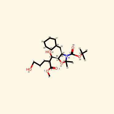 COC(=O)C(CCCO)C(O)[C@@H]1OC(C)(C)N(C(=O)OC(C)(C)C)[C@@H]1CC1CCCCC1